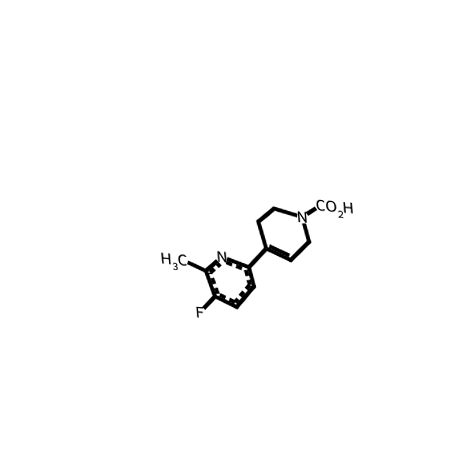 Cc1nc(C2=CCN(C(=O)O)CC2)ccc1F